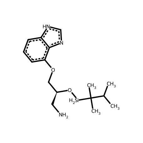 CC(C)C(C)(C)[SiH2]O[C@@H](CN)COc1cccc2[nH]cnc12